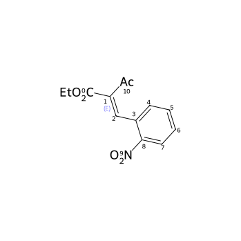 CCOC(=O)/C(=C/c1ccccc1[N+](=O)[O-])C(C)=O